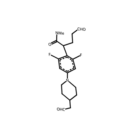 CNC(=O)C(CCC=O)c1c(F)cc(N2CCC(CC=O)CC2)cc1F